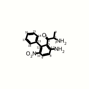 CC(N)C(=O)c1c(N)ccc([N+](=O)[O-])c1-c1ccccc1